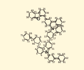 C1=CC(c2cccc3c2c2cc(-c4ccc5c(c4)c4ccccc4n5-c4ccc(-c5cccc6c5oc5ccccc56)cc4-c4ccccc4)ccc2n3-c2cccc(-c3ccccc3)c2)CC(c2ccccc2)=C1